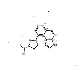 C[S+]([O-])N1CCC(c2ccnc3cnc4[nH]ccc4c23)C1